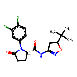 CC(C)(C)C1CC(NC(=O)[C@@H]2CCC(=O)N2c2ccc(Cl)c(F)c2)=NO1